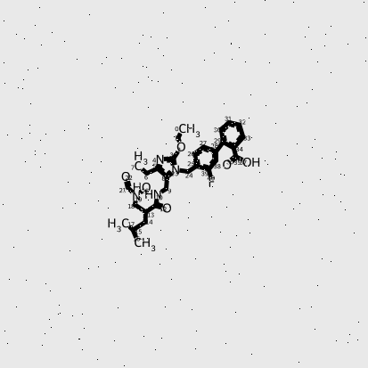 CCOc1nc(CC)c(CNC(=O)C(CC(C)C)CN(O)C=O)n1Cc1ccc(-c2ccccc2C(=O)O)cc1F